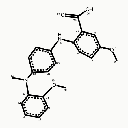 COc1ccc(Nc2ccc(N(C)c3ccccc3OC)cc2)c(C(=O)O)c1